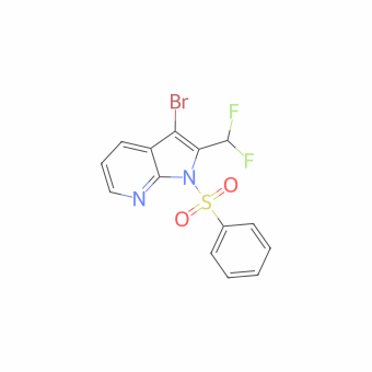 O=S(=O)(c1ccccc1)n1c(C(F)F)c(Br)c2cccnc21